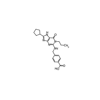 CCCn1c(NCc2ccc(C(=O)O)cc2)nc2nc(C3CCCC3)[nH]c2c1=O